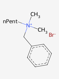 CCCCC[N+](C)(C)Cc1ccccc1.[Br-]